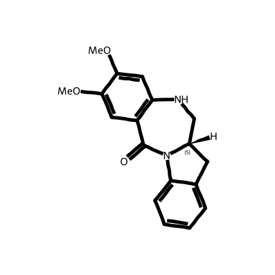 COc1cc2c(cc1OC)C(=O)N1c3ccccc3C[C@H]1CN2